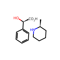 C[C@H]1CCCCN1.O=C(O)[C@H](O)c1ccccc1